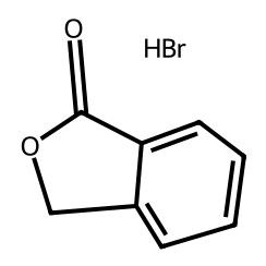 Br.O=C1OCc2ccccc21